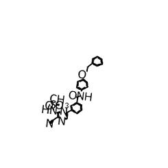 CS(=O)(=O)Nc1nc(-c2cccc(C(=O)Nc3ccc(OCCc4ccccc4)cc3)c2)cnc1C#N